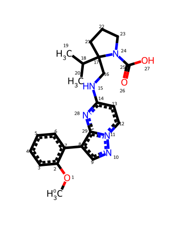 COc1ccccc1-c1cnn2ccc(NCC3(C(C)C)CCCN3C(=O)O)nc12